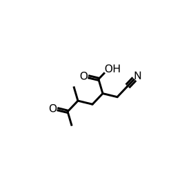 CC(=O)C(C)CC(CC#N)C(=O)O